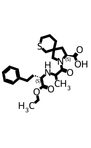 CCOC(=O)[C@H](CCc1ccccc1)NC(C)C(=O)N1CC2(CCCSC2)C[C@H]1C(=O)O